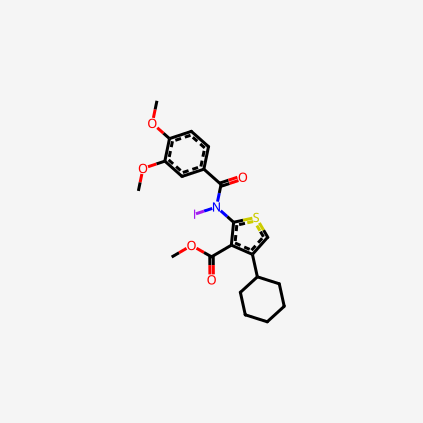 COC(=O)c1c(C2CCCCC2)csc1N(I)C(=O)c1ccc(OC)c(OC)c1